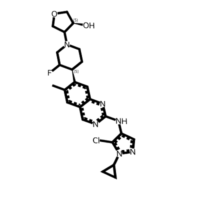 Cc1cc2cnc(Nc3cnn(C4CC4)c3Cl)nc2cc1[C@@H]1CCN(C2COC[C@H]2O)CC1F